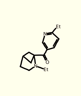 CCc1ccc(C(=O)C23CC(CCN2CC)C3)cn1